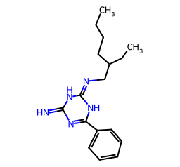 CCCCC(CC)CN=c1[nH]c(-c2ccccc2)nc(=N)[nH]1